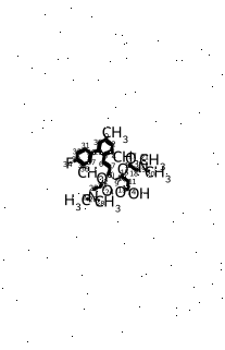 Cc1cc(C)c(C=C[C@H](C[C@H](CC(=O)O)OC(=O)CN(C)C)OC(=O)CN(C)C)c(-c2ccc(F)c(C)c2)c1